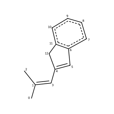 CC(C)=CC1=Cc2ccccc2C1